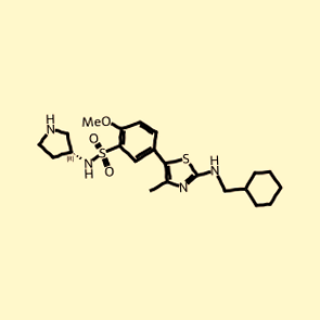 COc1ccc(-c2sc(NCC3CCCCC3)nc2C)cc1S(=O)(=O)N[C@@H]1CCNC1